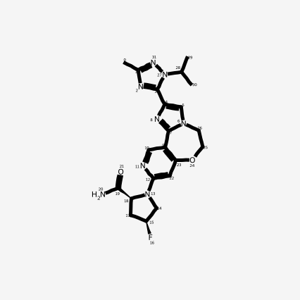 Cc1nc(-c2cn3c(n2)-c2cnc(N4C[C@@H](F)C[C@H]4C(N)=O)cc2OCC3)n(C(C)C)n1